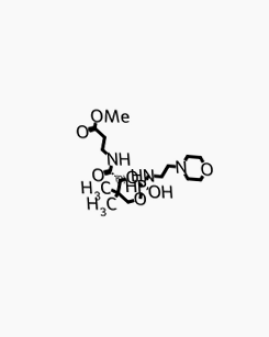 COC(=O)CCNC(=O)[C@@H]1O[PH](O)(NCCN2CCOCC2)OCC1(C)C